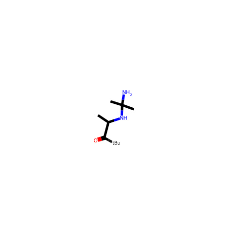 CC(NC(C)(C)N)C(=O)C(C)(C)C